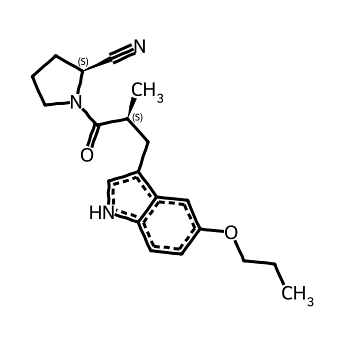 CCCOc1ccc2[nH]cc(C[C@H](C)C(=O)N3CCC[C@H]3C#N)c2c1